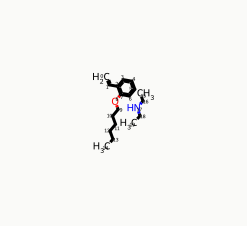 C=Cc1ccccc1OCCCCCC.CCNCC